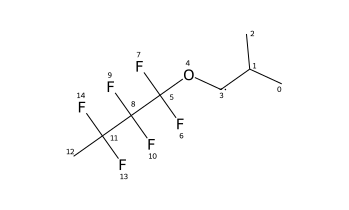 CC(C)[CH]OC(F)(F)C(F)(F)C(C)(F)F